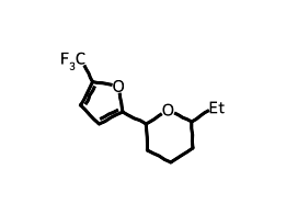 CCC1CCCC(c2ccc(C(F)(F)F)o2)O1